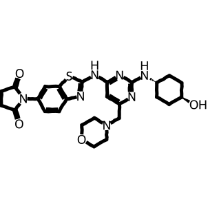 O=C1CCC(=O)N1c1ccc2nc(Nc3cc(CN4CCOCC4)nc(N[C@H]4CC[C@H](O)CC4)n3)sc2c1